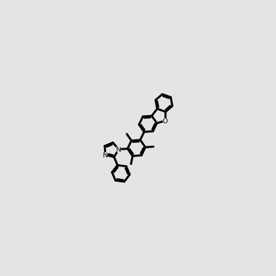 Cc1cc(C)c(-n2ccnc2-c2ccccc2)c(C)c1-c1ccc2c(c1)oc1ccccc12